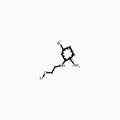 CCOCCNc1cc(Br)ccc1N